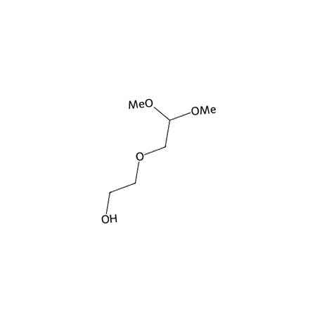 COC(COCCO)OC